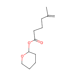 C=C(C)CCCC(=O)OC1CCCCO1